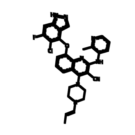 CC=CN1CCN(c2c(C#N)c(Nc3cccnc3C)nc3c(Oc4c(Cl)c(F)cc5[nH]ncc45)cccc23)CC1